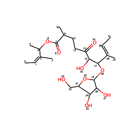 C/C=C(/C)C(C)OC(=O)C(C)CCC(=O)C(O)C(OC1OC(CO)C(O)C1O)/C(C)=C/C